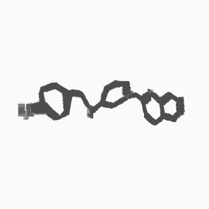 Cc1ccc(CNC2CCN(c3ccc4ccccc4n3)C2)cc1